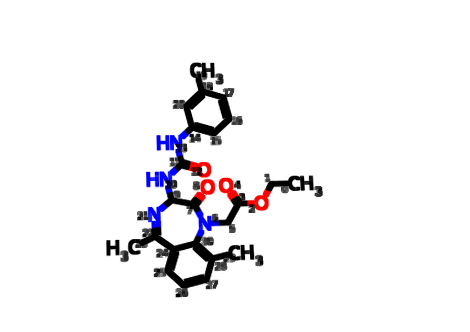 CCOC(=O)CN1C(=O)C(NC(=O)Nc2cccc(C)c2)N=C(C)c2cccc(C)c21